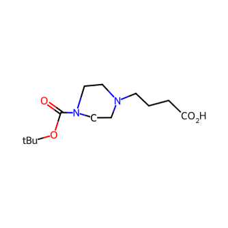 CC(C)(C)OC(=O)N1CCN(CCCC(=O)O)CC1